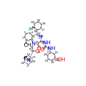 Cc1cccc2c1N(CC(=O)N1CC3CCC(CC3)C1)C(=O)[C@H](NC(=O)Nc1cccc(O)c1)N=C2c1ccccc1F